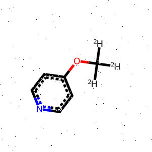 [2H]C([2H])([2H])Oc1ccncc1